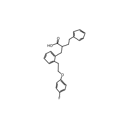 O=C(O)C(CCc1ccccc1)Cc1ccccc1CCOc1ccc(F)cc1